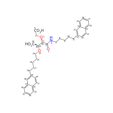 O=C(O)CO[C@@H](C(=O)NCCCCCc1ccc2ccccc2c1)[C@@H](OCCCCCc1ccc2ccccc2c1)C(=O)O